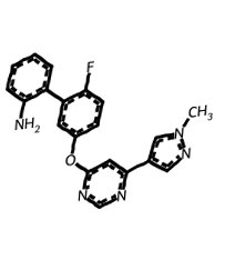 Cn1cc(-c2cc(Oc3ccc(F)c(-c4ccccc4N)c3)ncn2)cn1